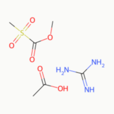 CC(=O)O.COC(=O)S(C)(=O)=O.N=C(N)N